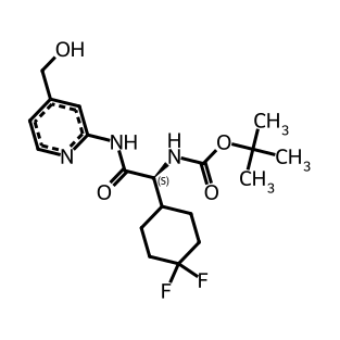 CC(C)(C)OC(=O)N[C@H](C(=O)Nc1cc(CO)ccn1)C1CCC(F)(F)CC1